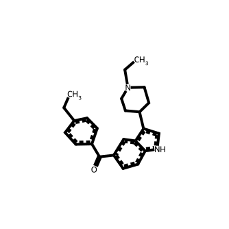 CCc1ccc(C(=O)c2ccc3[nH]cc(C4CCN(CC)CC4)c3c2)cc1